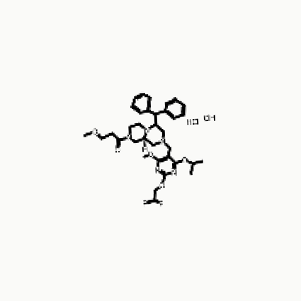 COCCC(=O)N1CCN2C(C(c3ccccc3)c3ccccc3)CN(Cc3c(OC)nc(OCC(F)F)nc3OC(C)C)C[C@@H]2C1.Cl.Cl